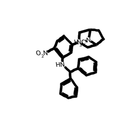 CN1C2CCC1CN(c1ccc([N+](=O)[O-])c(NC(c3ccccc3)c3ccccc3)c1)C2